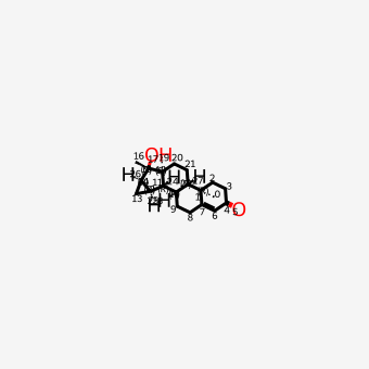 C[C@]12CCC(=O)C=C1CC[C@H]1[C@@H]3[C@H]4C[C@H]4[C@](C)(O)[C@@]3(C)CC[C@@H]12